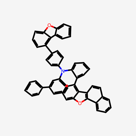 c1ccc(-c2cccc(N(c3ccc(-c4cccc5oc6ccccc6c45)cc3)c3ccccc3-c3cccc4oc5c6ccccc6ccc5c34)c2)cc1